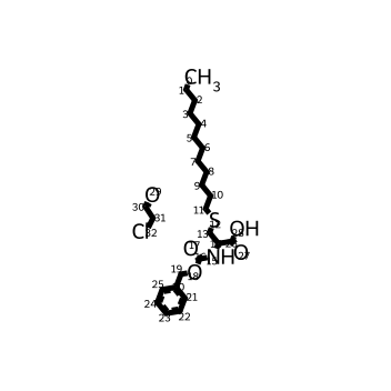 CCCCCCCCCCCCSCC(NC(=O)OCc1ccccc1)C(=O)O.O=CCCl